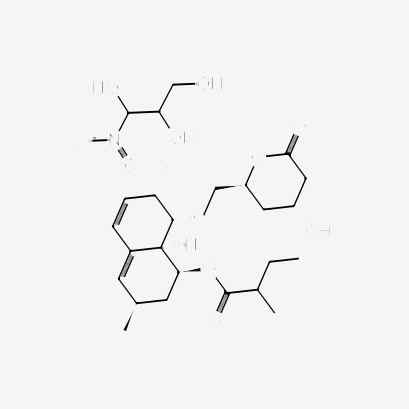 CCC(C)C(=O)O[C@H]1C[C@@H](C)C=C2C=C[C@H](C)[C@H](CC[C@@H]3C[C@@H](O)CC(=O)O3)[C@H]21.O=[N+]([O-])C(O)C(O)CO